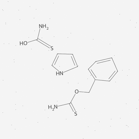 NC(=S)OCc1ccccc1.NC(O)=S.c1cc[nH]c1